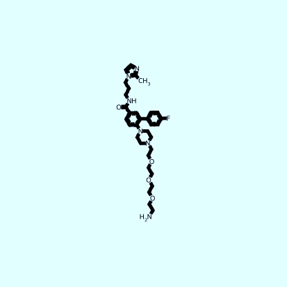 Cc1nccn1CCCNC(=O)c1ccc(N2CCN(CCOCCOCCOCCN)CC2)c(-c2ccc(F)cc2)c1